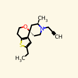 C#CCN1CC[C@@]2(C[C@H]1C)OCCc1sc(CC)cc12